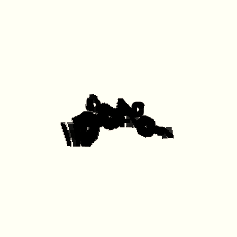 COc1cc(C2CC2C(=O)Nc2ccc(C#N)cc2)ccc1C1=CCNCC1